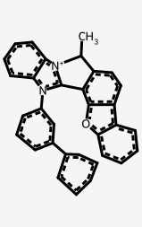 CC1c2ccc3c(oc4ccccc43)c2-c2n(-c3cccc(-c4ccccc4)c3)c3ccccc3[n+]21